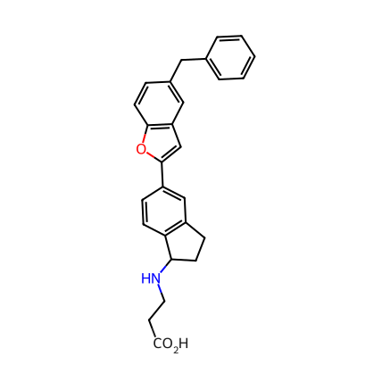 O=C(O)CCNC1CCc2cc(-c3cc4cc(Cc5ccccc5)ccc4o3)ccc21